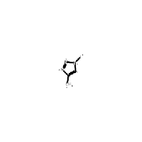 Cc1cn(I)nn1